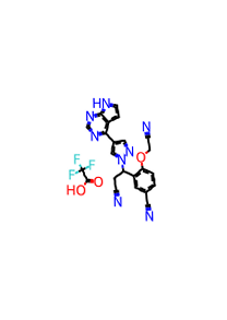 N#CCOc1ccc(C#N)cc1C(CC#N)n1cc(-c2ncnc3[nH]ccc23)cn1.O=C(O)C(F)(F)F